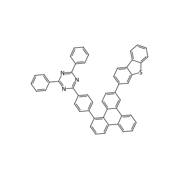 c1ccc(-c2nc(-c3ccccc3)nc(-c3ccc(-c4cccc5c6ccccc6c6cc(-c7ccc8c(c7)sc7ccccc78)ccc6c45)cc3)n2)cc1